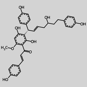 COc1cc(O)c([C@@H](/C=C/CC(O)CCc2ccc(O)cc2)c2ccc(O)cc2)c(O)c1C(=O)/C=C/c1ccc(O)cc1